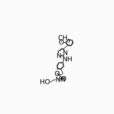 COc1ccccc1-c1ccnc(Nc2cccc(CS(=O)(=O)NCCO)c2)n1